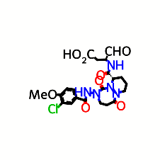 COc1ccc(C(=O)NN2CCC(=O)N3CCC[C@@H](C(=O)N[C@H](C=O)CC(=O)O)N3C2=O)cc1Cl